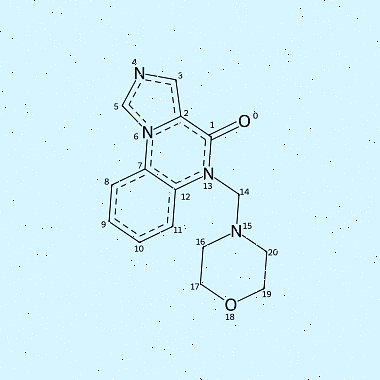 O=c1c2cncn2c2ccccc2n1CN1CCOCC1